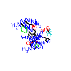 O=C(O)C(F)(F)F.[CH2]NNNCN1CNNNCNC2=NC(N)=C(C1=O)N(N1CCC(c3nc(NCCc4ccncc4)nc(C4CCN(N5C(C(N)=O)=C(N)N=C(N)C5Cl)CC4)n3)CC1)C2Cl